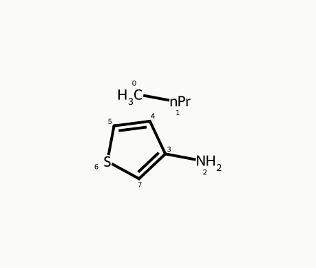 CCCC.Nc1ccsc1